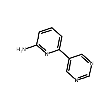 Nc1cccc(-c2cncnc2)n1